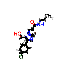 CCCNC(=O)c1cn2c(CO)c(-c3ccc(Cl)cc3)nc2s1